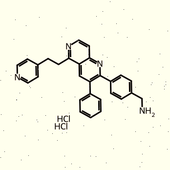 Cl.Cl.NCc1ccc(-c2nc3ccnc(CCc4ccncc4)c3cc2-c2ccccc2)cc1